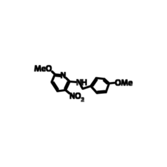 COc1ccc(CNc2nc(OC)ccc2[N+](=O)[O-])cc1